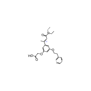 CCN(CC)C(=O)/C=C(\C)c1cc(OCCc2ccccc2)cc(OCC(=O)O)c1